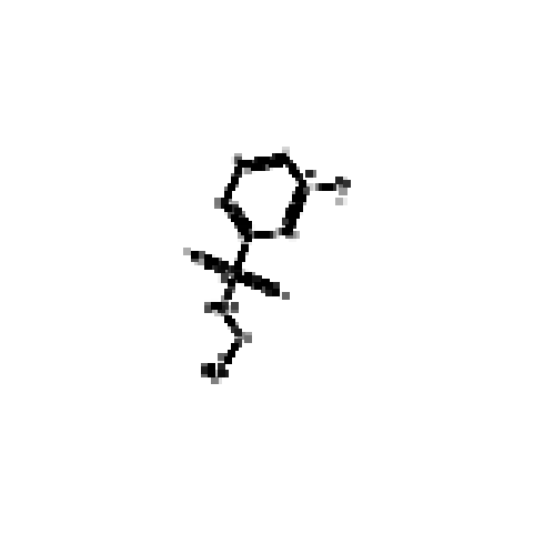 CCNS(=O)(=O)c1cccc(Br)c1